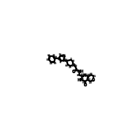 O=C(CN1CCC(n2cc(-c3ccccc3)cn2)CC1)NCc1nc2c(c(=O)[nH]1)COCC2